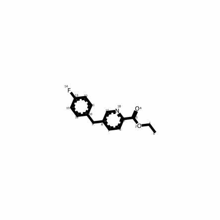 CCOC(=O)c1ccc(Cc2ccc(F)cc2)cn1